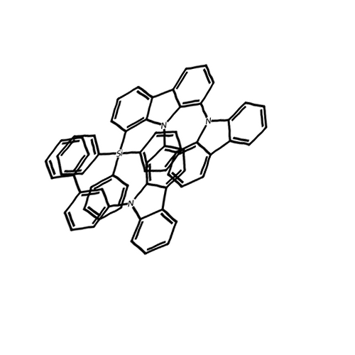 c1ccc(-c2cccc(-n3c4ccccc4c4ccc(-n5c6c(-n7c8ccccc8c8ccccc87)cccc6c6cccc([Si](c7ccccc7)(c7ccccc7)c7ccccc7)c65)cc43)c2)cc1